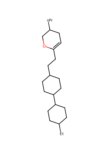 CCCC1CC=C(CCC2CCC(C3CCC(CC)CC3)CC2)OC1